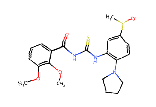 COc1cccc(C(=O)NC(=S)Nc2cc([S+](C)[O-])ccc2N2CCCC2)c1OC